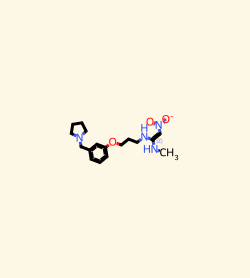 CN/C(=C/[N+](=O)[O-])NCCCOc1cccc(CN2CCCC2)c1